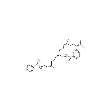 CC(C)=CCCC(C)=CCCC(=CCCC(C)=CCOC(=O)c1ccccc1)COC(=O)c1ccccc1